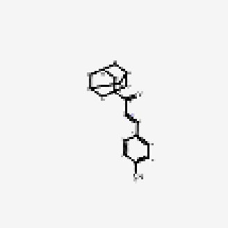 N#Cc1ccc(/C=C/C(=O)C23CC4CC(CC(C4)C2)C3)cc1